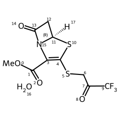 COC(=O)C1=C(SCC(=O)C(F)(F)F)S[C@@H]2CC(=O)N12.O